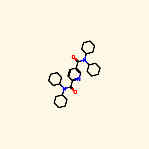 O=C(c1ccc(C(=O)N(C2CCCCC2)C2CCCCC2)nc1)N(C1CCCCC1)C1CCCCC1